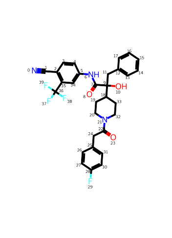 N#Cc1ccc(NC(=O)C(O)(Cc2ccccc2)C2CCN(C(=O)Cc3ccc(F)cc3)CC2)cc1C(F)(F)F